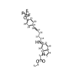 CCOC(=O)Cn1ccc2ccc(NCCCC#Cc3ccc(OC(F)(F)F)cc3)cc21